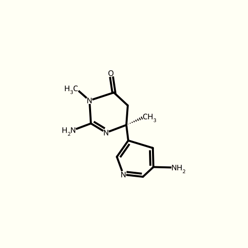 CN1C(=O)C[C@@](C)(c2cncc(N)c2)N=C1N